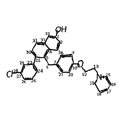 Oc1ccc2c(Cc3ccc(OCCN4C=CC=CC4)cc3)c(-c3cccc(Cl)c3)ccc2c1